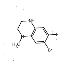 CN1CCNc2cc(F)c(Br)cc21